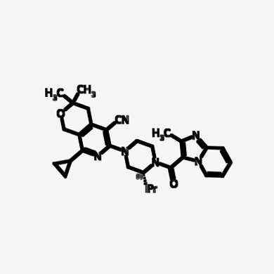 Cc1nc2ccccn2c1C(=O)N1CCN(c2nc(C3CC3)c3c(c2C#N)CC(C)(C)OC3)C[C@H]1C(C)C